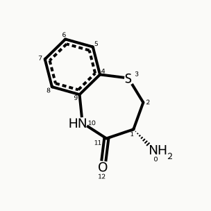 N[C@H]1CSc2ccccc2NC1=O